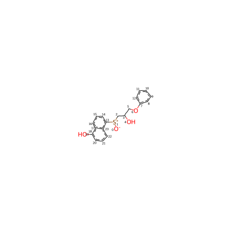 [O-][S+](CC(O)COc1ccccc1)c1cccc2c(O)cccc12